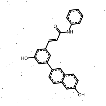 O=C(C=Cc1cc(O)cc(-c2ccc3cc(O)ccc3c2)c1)Nc1ccccc1